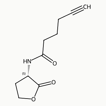 C#CCCCC(=O)N[C@H]1CCOC1=O